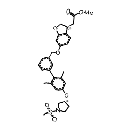 COC(=O)C[C@@H]1COc2cc(OCc3cccc(-c4c(C)cc(O[C@@H]5CCN(S(C)(=O)=O)C5)cc4C)c3)ccc21